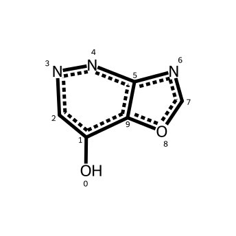 Oc1cnnc2ncoc12